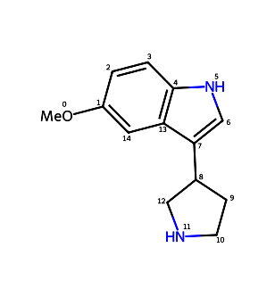 COc1ccc2[nH]cc(C3CCNC3)c2c1